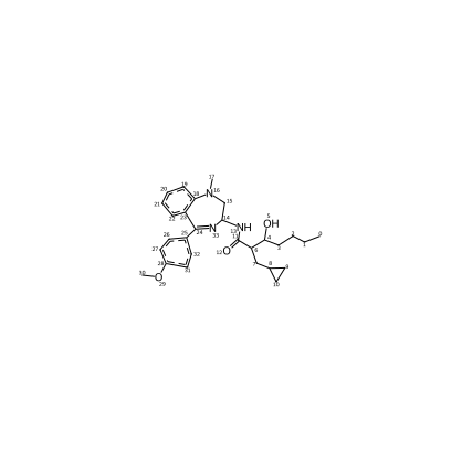 CCCCC(O)C(CC1CC1)C(=O)NC1CN(C)c2ccccc2C(c2ccc(OC)cc2)=N1